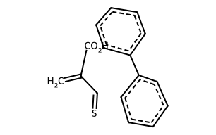 C=C(C=S)C(=O)O.c1ccc(-c2ccccc2)cc1